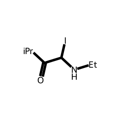 CCNC(I)C(=O)C(C)C